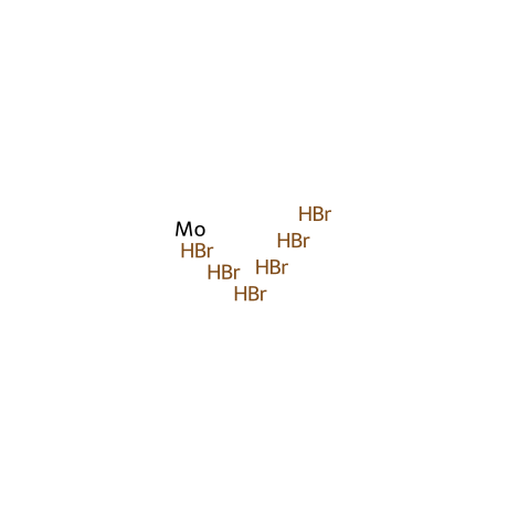 Br.Br.Br.Br.Br.Br.[Mo]